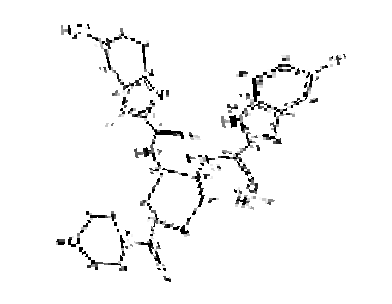 CN1CCc2nc(C(=O)NC3CC(C(=O)N4CCOCC4)CCC3NC(=O)c3cc4cc(Cl)ccc4[nH]3)sc2C1.Cl